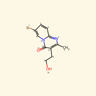 Cc1nc2ccc(Br)cn2c(=O)c1CCO